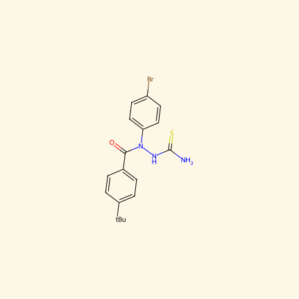 CC(C)(C)c1ccc(C(=O)N(NC(N)=S)c2ccc(Br)cc2)cc1